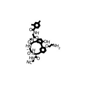 Cc1ccc(C(=O)NCC(=O)N(C)[C@@H]2C(=O)N[C@@H](C)C(=O)N[C@H](C(=O)NCC#N)Cc3ccc(OCCN)c(c3)-c3cc2ccc3O)c(C)c1